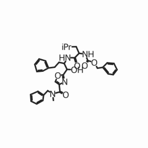 CC(C)CC(NC(=O)OCc1ccccc1)C(=O)NC(CCc1ccccc1)C(O)c1nc(C(=O)N(C)Cc2ccccc2)co1